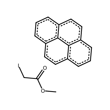 COC(=O)CI.c1cc2ccc3cccc4ccc(c1)c2c34